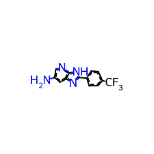 Nc1cnc2[nH]c(-c3ccc(C(F)(F)F)cc3)nc2c1